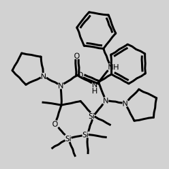 CC1(N(C(=O)Nc2ccccc2)N2CCCC2)C[Si](C)(N(C(=O)Nc2ccccc2)N2CCCC2)[Si](C)(C)[Si](C)(C)O1